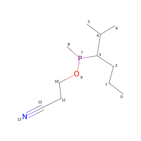 CCCC(C(C)C)P(C)OCCC#N